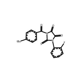 CC(C)(C)c1ccc(C(=O)N2C(=O)C(=O)N(c3ccccc3F)C2=S)cc1